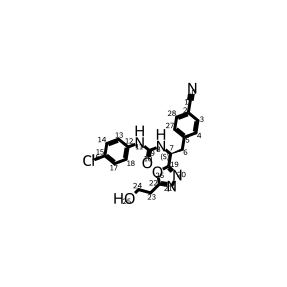 N#Cc1ccc(C[C@H](NC(=O)Nc2ccc(Cl)cc2)c2nnc(CCO)o2)cc1